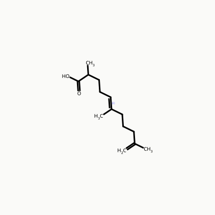 C=C(C)CCC/C(C)=C/CCC(C)C(=O)O